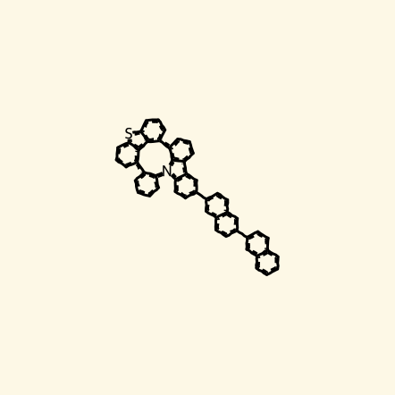 c1ccc2cc(-c3ccc4cc(-c5ccc6c(c5)c5cccc7c8cccc9sc%10cccc(c%11ccccc%11n6c75)c%10c98)ccc4c3)ccc2c1